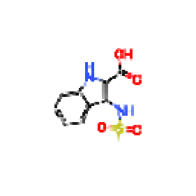 CS(=O)(=O)Nc1c(C(=O)O)[nH]c2ccccc12